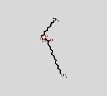 C/C=C/CCCCC(CC)OC(=O)C(=O)CCCCCCCCCCCCCC